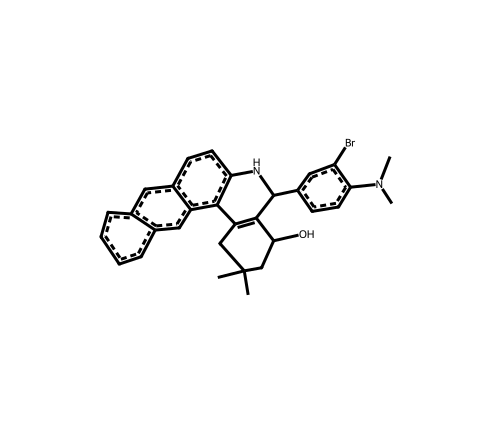 CN(C)c1ccc(C2Nc3ccc4cc5ccccc5cc4c3C3=C2C(O)CC(C)(C)C3)cc1Br